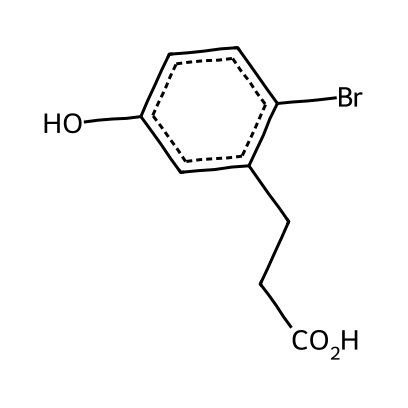 O=C(O)CCc1cc(O)ccc1Br